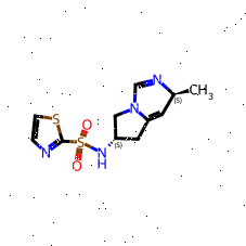 C[C@H]1C=C2C[C@H](NS(=O)(=O)c3nccs3)CN2C=N1